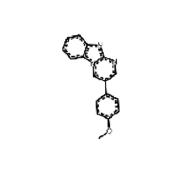 COc1ccc(-c2cnc3nc4ccccc4n3c2)cc1